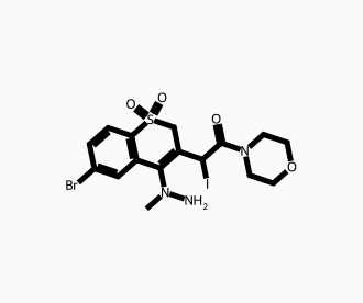 CN(N)C1=C(C(I)C(=O)N2CCOCC2)CS(=O)(=O)c2ccc(Br)cc21